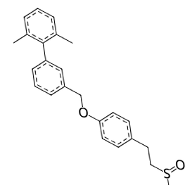 Cc1cccc(C)c1-c1cccc(COc2ccc(CCS(=O)O)cc2)c1